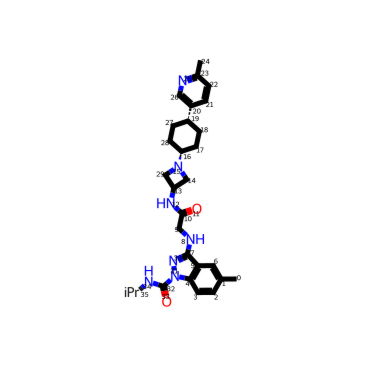 Cc1ccc2c(c1)c(NCC(=O)NC1CN([C@H]3CC[C@@H](c4ccc(C)nc4)CC3)C1)nn2C(=O)NC(C)C